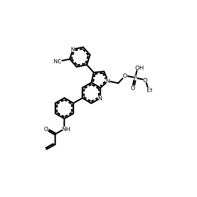 C=CC(=O)Nc1cccc(-c2cnc3c(c2)c(-c2ccnc(C#N)c2)cn3COP(=O)(O)OCC)c1